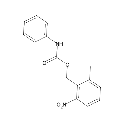 Cc1cccc([N+](=O)[O-])c1COC(=O)Nc1ccccc1